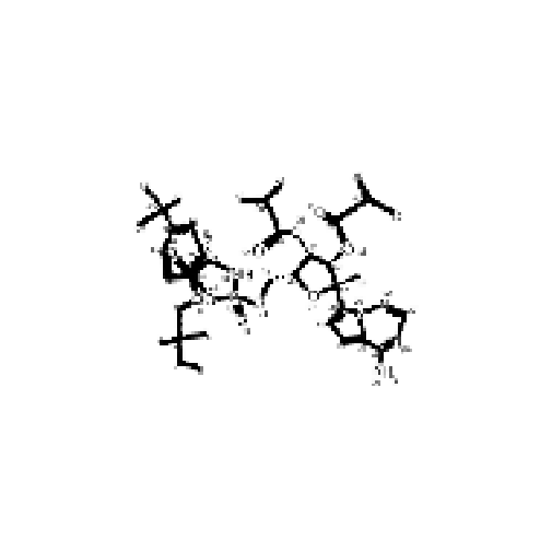 CCC(C)(C)COC(=O)[C@H](C)NP(=O)(OC[C@H]1O[C@@](C)(c2ccc3c(N)ncnn23)[C@H](OC(=O)C(C)C)[C@@H]1OC(=O)C(C)C)Oc1ccc(C(C)(C)C)cc1